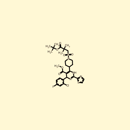 COC(=O)C1=C(C2CCN(S(=O)(=O)CC(C)(C)C(=O)OC(C)(C)C)CC2)NC(c2nccs2)=NC1c1ccc(F)cc1Cl